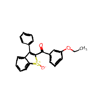 CCOc1cccc(C(=O)c2c(-c3ccccc3)c3ccccc3[s+]2[O-])c1